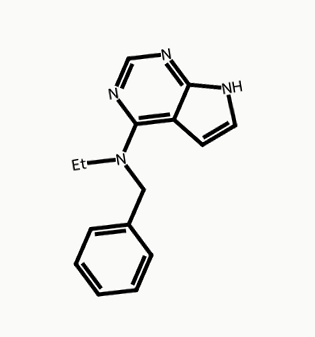 CCN(Cc1ccccc1)c1ncnc2[nH]ccc12